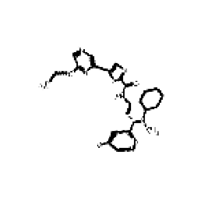 CCOc1cncc(-c2cnc(C(=O)NCC[C@@H](c3cc(Cl)ccn3)N(C)C3CCCCC3)s2)n1